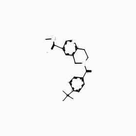 CC(C)(C)c1ccc(C(=O)N2CCc3ncc(C(=O)NO)cc3C2)cc1